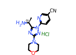 C[C@H](N)c1nc(N2CCOCC2)nn1-c1ccc(C#N)cn1.Cl